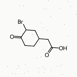 O=C(O)CC1CCC(=O)C(Br)C1